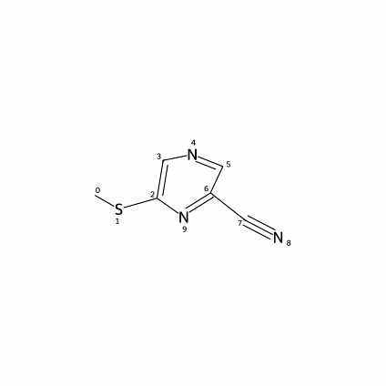 CSc1cncc(C#N)n1